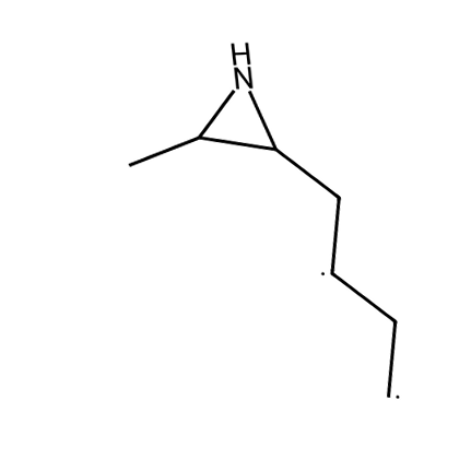 [CH2]C[CH]CC1NC1C